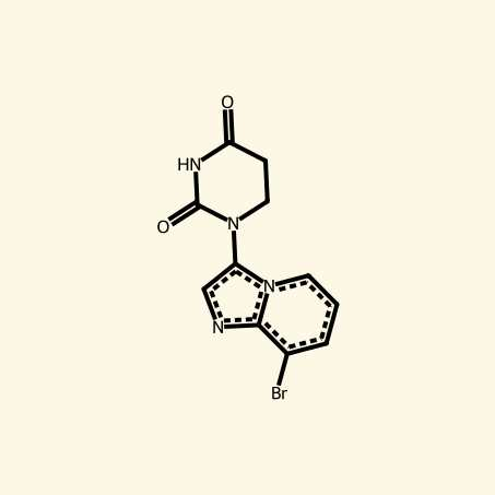 O=C1CCN(c2cnc3c(Br)cccn23)C(=O)N1